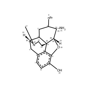 CCCC1CC2[C@H]3Cc4ccc(O)c5c4[C@@]2(CCN3C)[C@@H](O5)[C@H]1N